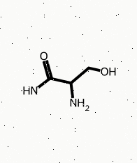 [NH]C(=O)C(N)CO